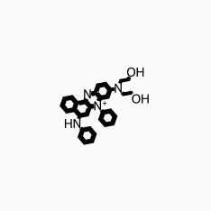 OCCN(CCO)c1ccc2nc3c4ccccc4c(Nc4ccccc4)cc3[n+](-c3ccccc3)c2c1